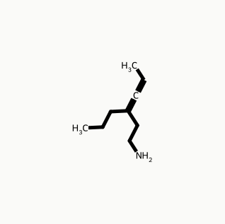 CC=C=C(CCC)CCN